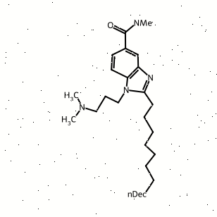 CCCCCCCCCCCCCCCCCc1nc2cc(C(=O)NC)ccc2n1CCCN(C)C